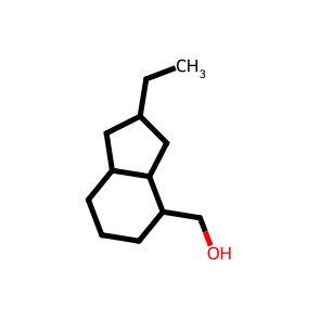 CCC1CC2CCCC(CO)C2C1